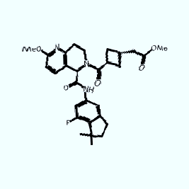 COC(=O)C[C@H]1C[C@@H](C(=O)N2CCc3nc(OC)ccc3[C@@H]2C(=O)Nc2cc(F)c3c(c2)CCC3(C)C)C1